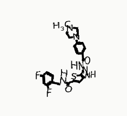 CN1CCN(c2ccc(C(=O)Nc3n[nH]c4cc(C(=O)NCc5ccc(F)cc5F)sc34)cc2)CC1